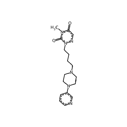 Cn1c(=O)cnn(CCCCN2CCN(c3cccnc3)CC2)c1=O